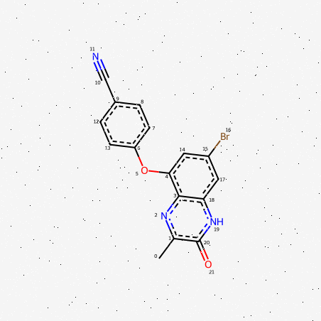 Cc1nc2c(Oc3ccc(C#N)cc3)cc(Br)cc2[nH]c1=O